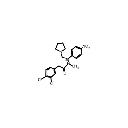 CN(C(=O)Cc1ccc(Cl)c(Cl)c1)[C@@H](CN1CCCC1)c1ccc([N+](=O)[O-])cc1